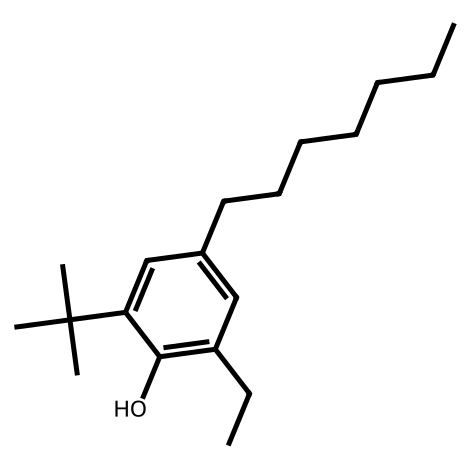 CCCCCCCc1cc(CC)c(O)c(C(C)(C)C)c1